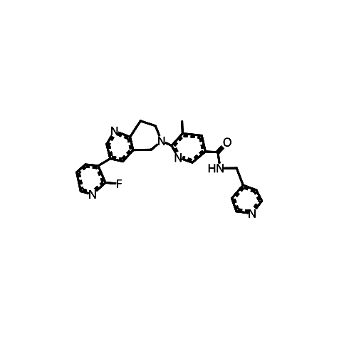 Cc1cc(C(=O)NCc2ccncc2)cnc1N1CCc2ncc(-c3cccnc3F)cc2C1